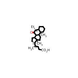 CC[C@H]1C(=O)C2C(CC[C@@]3(C)C2CC[C@@H]3[C@H](C)CCC(=O)O)[C@@]2(C)CCCCC12